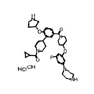 Cl.Cl.O=C(c1ccc(O[C@H]2CCNC2)c(C2CCN(C(=O)C3CC3)CC2)c1)N1CCC(Oc2cc(F)cc(N3CCNCC3)c2)CC1